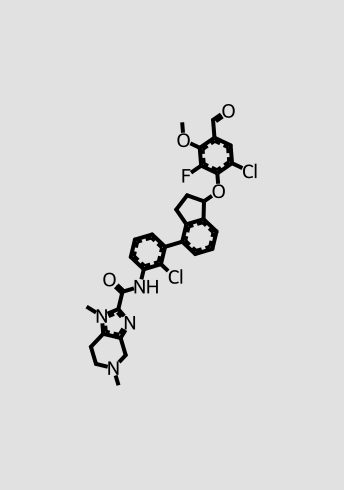 COc1c(C=O)cc(Cl)c(OC2CCc3c(-c4cccc(NC(=O)c5nc6c(n5C)CCN(C)C6)c4Cl)cccc32)c1F